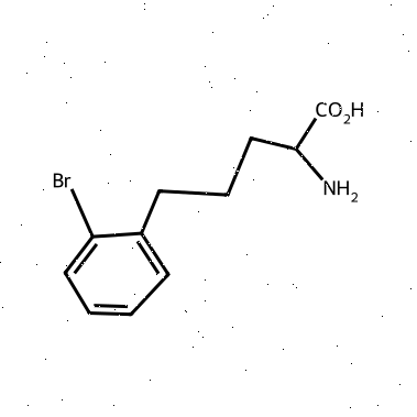 NC(CCCc1ccccc1Br)C(=O)O